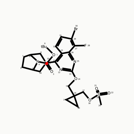 CC(C)(C)OC(=O)N1C2CCC1CN(c1nc(OCC3(COS(C)(=O)=O)CC3)nc3c(F)c(Br)ccc13)C2